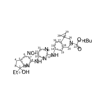 CCC1(O)CCc2ccc(Nc3nc(Nc4ccc5c(c4)CN(C(=O)OC(C)(C)C)CC54CC4)ncc3C#N)nc21